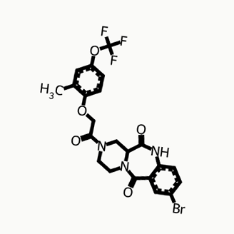 Cc1cc(OC(F)(F)F)ccc1OCC(=O)N1CCN2C(=O)c3cc(Br)ccc3NC(=O)C2C1